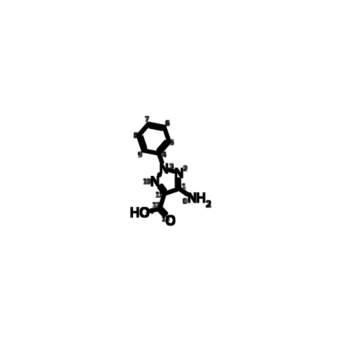 Nc1nn(-c2ccccc2)nc1C(=O)O